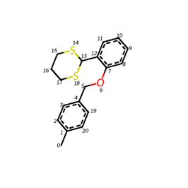 Cc1ccc(COc2ccccc2C2SCCCS2)cc1